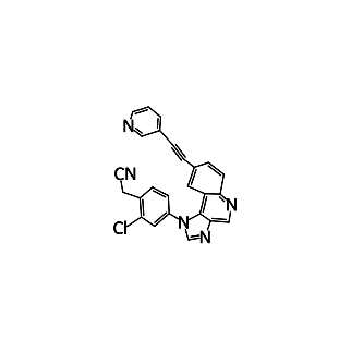 N#CCc1ccc(-n2cnc3cnc4ccc(C#Cc5cccnc5)cc4c32)cc1Cl